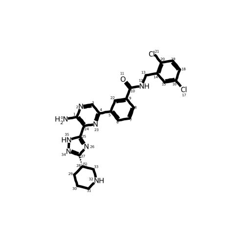 Nc1ncc(-c2cccc(C(=O)NCc3cc(Cl)ccc3Cl)c2)nc1-c1nc([C@H]2CCCNC2)n[nH]1